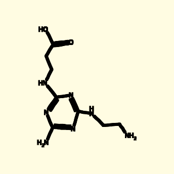 NCCNc1nc(N)nc(NCCC(=O)O)n1